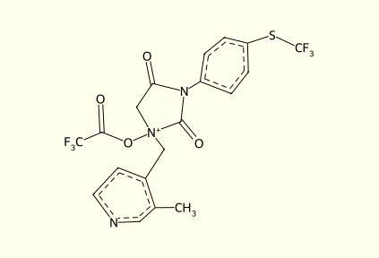 Cc1cnccc1C[N+]1(OC(=O)C(F)(F)F)CC(=O)N(c2ccc(SC(F)(F)F)cc2)C1=O